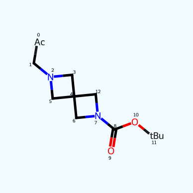 CC(=O)CN1CC2(C1)CN(C(=O)OC(C)(C)C)C2